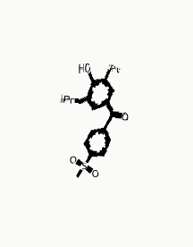 CC(C)c1cc(C(=O)c2ccc(S(C)(=O)=O)cc2)cc(C(C)C)c1O